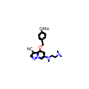 COc1ccc(COc2cc(N(C)CCN(C)C)cn3ncc(C#N)c23)cc1